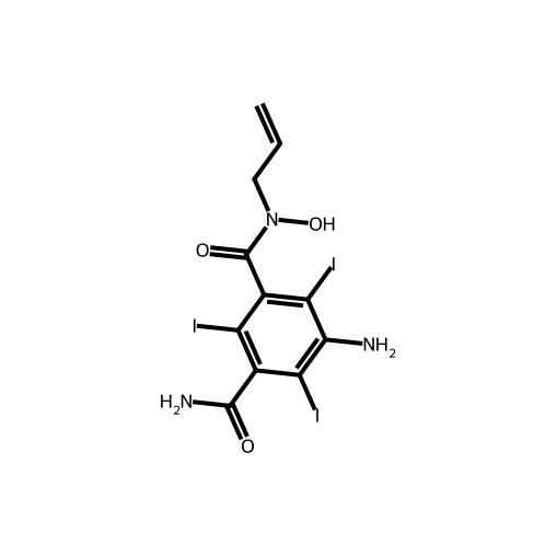 C=CCN(O)C(=O)c1c(I)c(N)c(I)c(C(N)=O)c1I